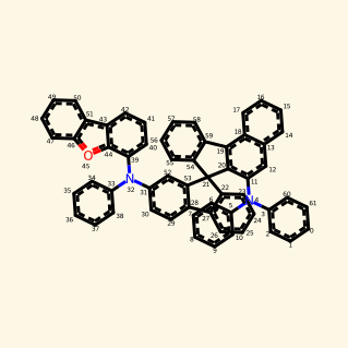 c1ccc(N(c2ccccc2)c2cc3ccccc3c3c2C2(c4ccccc4-c4ccc(N(c5ccccc5)c5cccc6c5oc5ccccc56)cc42)c2ccccc2-3)cc1